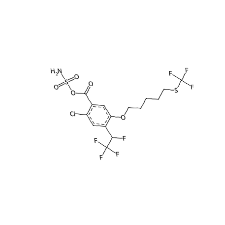 NS(=O)(=O)OC(=O)c1cc(OCCCCCSC(F)(F)F)c(C(F)C(F)(F)F)cc1Cl